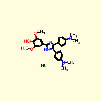 COc1cc(-c2nc(-c3ccc(N(C)C)cc3)c(-c3ccc(N(C)C)cc3)[nH]2)cc(OC)c1O.Cl